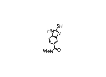 CNC(=O)c1ccc2[nH]c(S)nc2c1